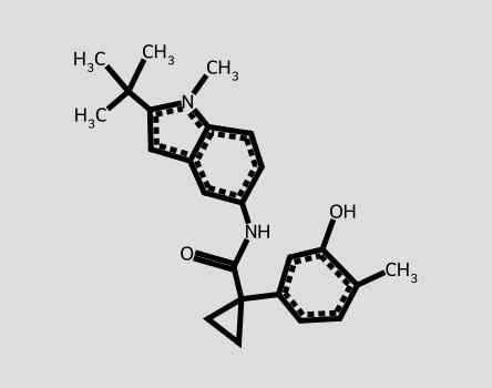 Cc1ccc(C2(C(=O)Nc3ccc4c(c3)cc(C(C)(C)C)n4C)CC2)cc1O